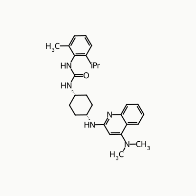 Cc1cccc(C(C)C)c1NC(=O)N[C@H]1CC[C@@H](Nc2cc(N(C)C)c3ccccc3n2)CC1